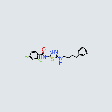 O=C(Nc1nnc(NCCCCc2ccccc2)s1)c1ccc(F)cc1F